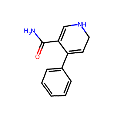 NC(=O)C1=CNCC=C1c1ccccc1